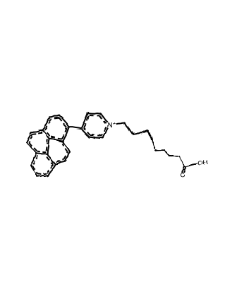 O=C(O)CCCCCCC[n+]1ccc(-c2ccc3ccc4cccc5ccc2c3c45)cc1